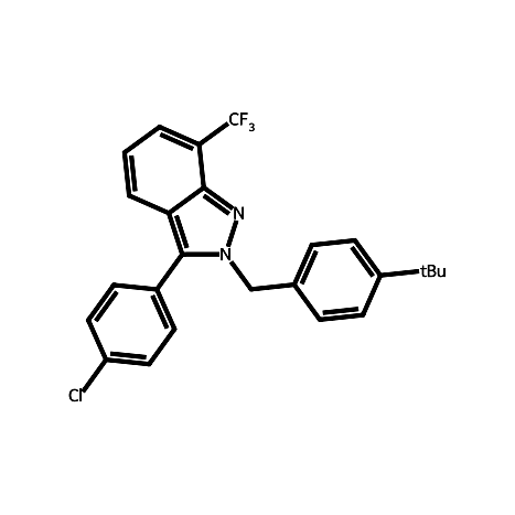 CC(C)(C)c1ccc(Cn2nc3c(C(F)(F)F)cccc3c2-c2ccc(Cl)cc2)cc1